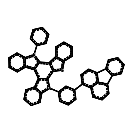 c1ccc(-n2c3ccccc3c3c4c5ccccc5n(-c5cccc(-c6ccc7c8c(cccc68)-c6ccccc6-7)c5)c4c4sc5ccccc5c4c32)cc1